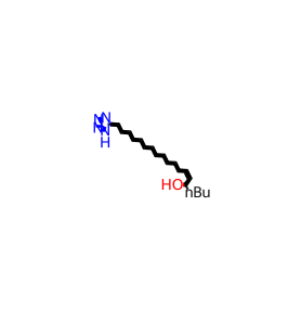 CCCC[C@@H](O)/C=C\CCCCCCCCCCCCc1nnn[nH]1